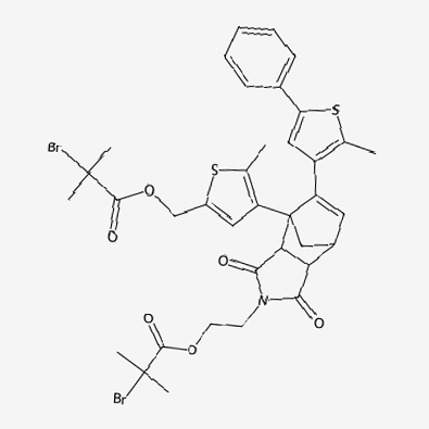 Cc1sc(-c2ccccc2)cc1C1=CC2CC1(c1cc(COC(=O)C(C)(C)Br)sc1C)C1C(=O)N(CCOC(=O)C(C)(C)Br)C(=O)C21